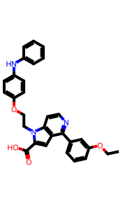 CCOc1cccc(-c2nccc3c2cc(C(=O)O)n3CCOc2ccc(Nc3ccccc3)cc2)c1